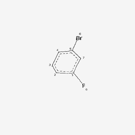 Fc1c[c]cc(Br)c1